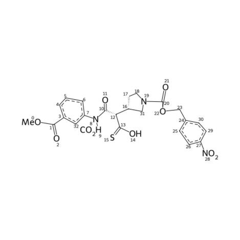 COC(=O)c1cccc(N(C(=O)O)C(=O)[C@@H](C(O)=S)[C@@H]2CCN(C(=O)OCc3ccc([N+](=O)[O-])cc3)C2)c1